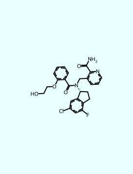 NC(=O)c1ncccc1CN(C(=O)c1ccccc1OCCO)[C@@H]1CCc2c(F)cc(Cl)cc21